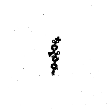 CC(C)(C)OC(=O)N1CCC(N(C(=O)c2ncc(-c3ccc(C#N)nc3)cn2)C2CC2)CC1